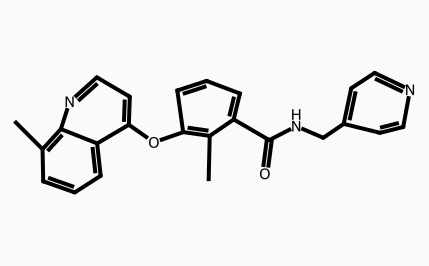 Cc1c(Oc2ccnc3c(C)cccc23)cccc1C(=O)NCc1ccncc1